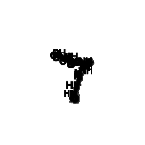 N[C@@H](CCC(=O)N1CCC(Nc2nc(NCc3cn(CCCNCCCNC4CCCCC4)nn3)nc3ccccc23)CC1)C(=O)NCCP(=O)(O)O